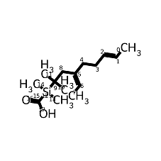 CC=CCCC(=CC)CC(C)(C)[Si](C)(C)C(=O)O